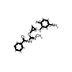 C/N=C(/NC(=O)c1ccccc1)OC1C[C@@H]1Cc1cc(N)ccc1F